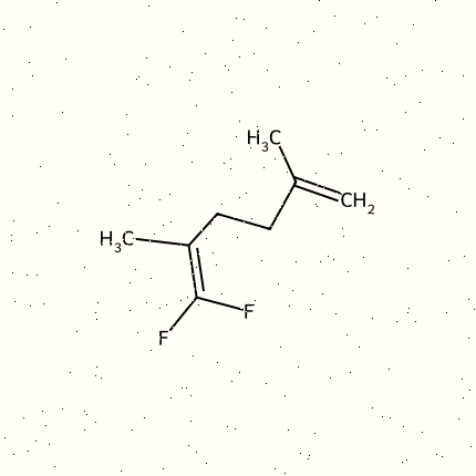 C=C(C)CCC(C)=C(F)F